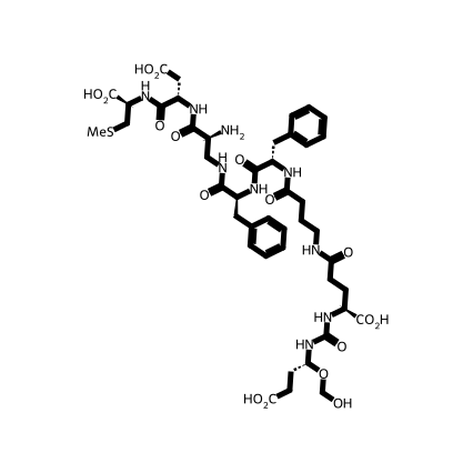 CSC[C@H](NC(=O)[C@H](CC(=O)O)NC(=O)[C@@H](N)CNC(=O)[C@H](Cc1ccccc1)NC(=O)[C@H](Cc1ccccc1)NC(=O)CCCNC(=O)CC[C@H](NC(=O)N[C@@H](CCC(=O)O)OCO)C(=O)O)C(=O)O